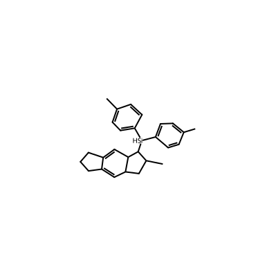 Cc1ccc([SiH](c2ccc(C)cc2)C2C(C)CC3C=C4CCCC4=CC32)cc1